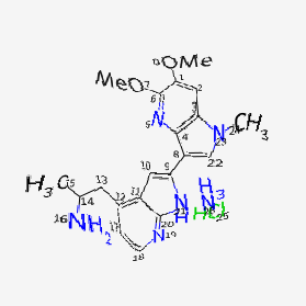 COc1cc2c(nc1OC)c(-c1cc3c(CC(C)N)ccnc3[nH]1)cn2C.Cl.N